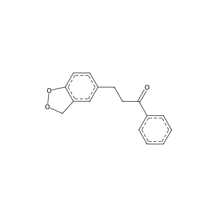 O=C(CCc1ccc2c(c1)COO2)c1ccccc1